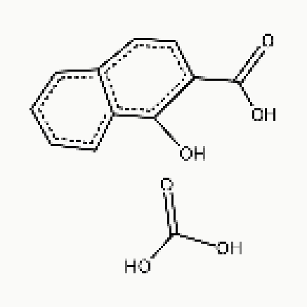 O=C(O)O.O=C(O)c1ccc2ccccc2c1O